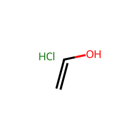 C=CO.Cl